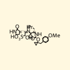 COc1ccc(CC2(OC(=O)N[C@@H](CC(C)C)C(=O)N[C@@H](C[C@@H]3CCNC3=O)C(O)S(=O)(=O)O)CC2)cc1